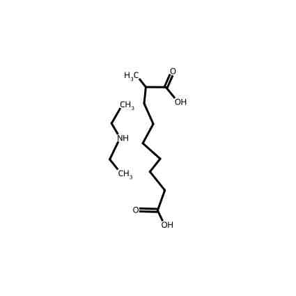 CC(CCCCCCC(=O)O)C(=O)O.CCNCC